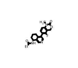 CCC(=O)N[C@@H]1CCCc2c(-c3ccc4c(c3F)COC(=O)N4C)cncc21